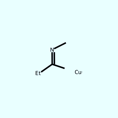 CCC(C)=NC.[Cu]